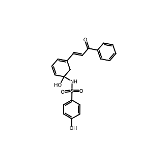 O=C(/C=C/C1=CC=CC(O)(NS(=O)(=O)c2ccc(O)cc2)C1)c1ccccc1